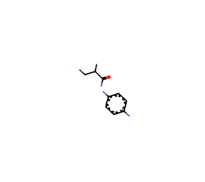 Nc1ccc(NC(=O)C(CC(=O)O)S(=O)(=O)O)cc1